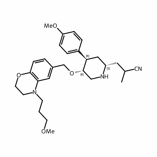 COCCCN1CCOc2ccc(CO[C@H]3CN[C@@H](CC(C)C#N)C[C@@H]3c3ccc(OC)cc3)cc21